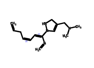 C=CC/C=C\C=C(/N=C)N1C=C(CN(C)C)CN1